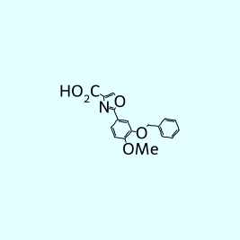 COc1ccc(-c2nc(C(=O)O)co2)cc1OCc1ccccc1